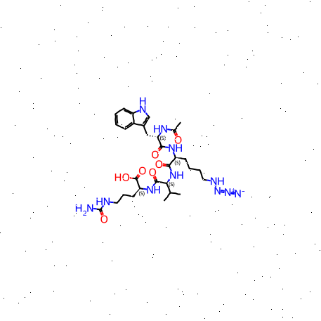 CC(=O)N[C@@H](Cc1c[nH]c2ccccc12)C(=O)N[C@@H](CCCCNN=[N+]=[N-])C(=O)N[C@H](C(=O)N[C@@H](CCCNC(N)=O)C(=O)O)C(C)C